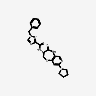 O=C(N[C@H]1CSc2cc(N3CCCC3)ncc2NC1=O)c1ncn(Cc2ccccc2)n1